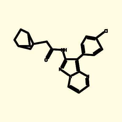 O=C(CC1CC2CCC1C2)Nc1nn2cccnc2c1-c1ccc(Cl)cc1